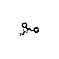 O=C(CF)OC(CCc1ccccc1)c1ccccc1